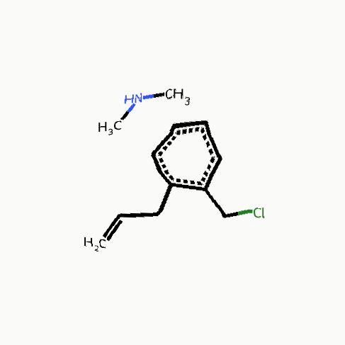 C=CCc1ccccc1CCl.CNC